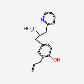 C=CCc1cc(CC(Cc2ccccn2)C(=O)O)ccc1O